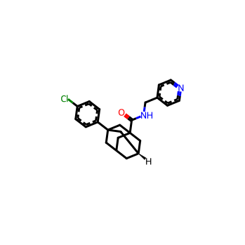 O=C(NCc1ccncc1)C12CC3C[C@@H](C1)CC(c1ccc(Cl)cc1)(C3)C2